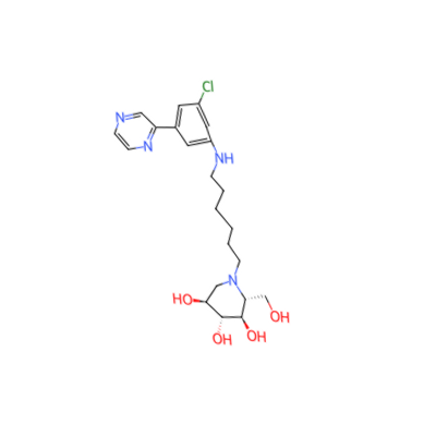 OC[C@@H]1[C@@H](O)[C@H](O)[C@@H](O)CN1CCCCCCNc1cc(Cl)cc(-c2cnccn2)c1